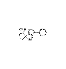 CC(C)(C)C1(c2ncc(-c3ccccc3)[nH]2)CCCN1C(=O)O